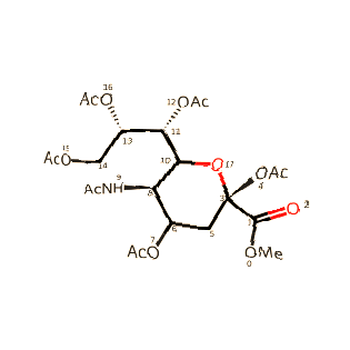 COC(=O)[C@]1(OC(C)=O)CC(OC(C)=O)[C@@H](NC(C)=O)C([C@@H](OC(C)=O)[C@H](COC(C)=O)OC(C)=O)O1